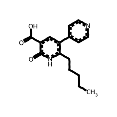 CCCCCc1[nH]c(=O)c(C(=O)O)cc1-c1ccncc1